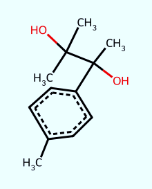 Cc1ccc(C(C)(O)C(C)(C)O)cc1